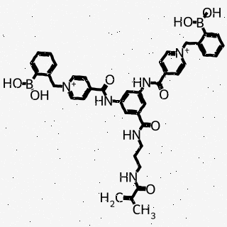 C=C(C)C(=O)NCCCNC(=O)c1cc(NC(=O)c2cc[n+](Cc3ccccc3B(O)O)cc2)cc(NC(=O)c2cc[n+](Cc3ccccc3B(O)O)cc2)c1